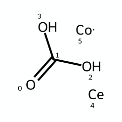 O=C(O)O.[Ce].[Co]